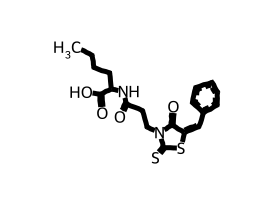 CCCCC(NC(=O)CCN1C(=O)/C(=C\c2ccccc2)SC1=S)C(=O)O